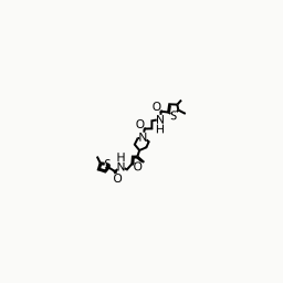 Cc1ccc(C(=O)NCc2cc(C3CCN(C(=O)CCNC(=O)C4=CC(C)C(C)S4)CC3)co2)s1